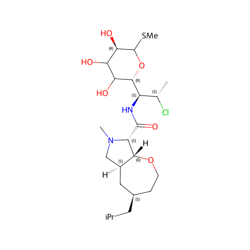 CSC1O[C@H]([C@H](NC(=O)[C@@H]2[C@@H]3OCC[C@@H](CC(C)C)C[C@H]3CN2C)[C@H](C)Cl)C(O)C(O)[C@H]1O